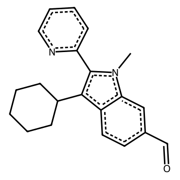 Cn1c(-c2ccccn2)c(C2CCCCC2)c2ccc(C=O)cc21